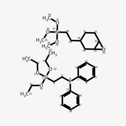 CCO[Si](CCP(c1ccccc1)c1ccccc1)(OCC)OCC.CO[Si](CCC1CCC2OC2C1)(OC)OC